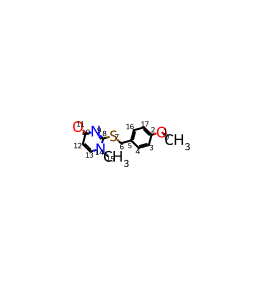 COc1ccc(CSc2nc(=O)ccn2C)cc1